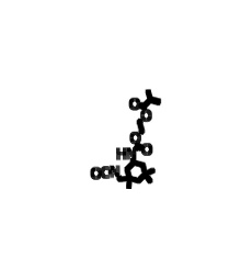 C=C(C)C(=O)OCCOC(=O)NC1CC(C)(C)CC(C)(CN=C=O)C1